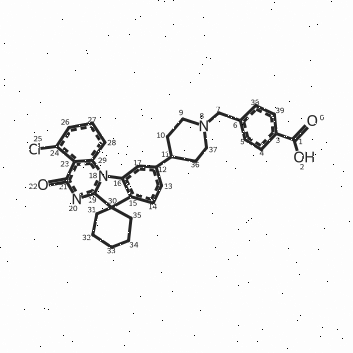 O=C(O)c1ccc(CN2CCC(c3ccc4c(c3)-n3c(nc(=O)c5c(Cl)cccc53)C43CCCCC3)CC2)cc1